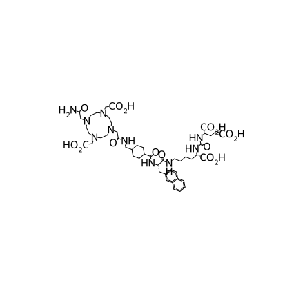 NC(=O)CN1CCN(CC(=O)O)CCN(CC(=O)NCC2CCC(C(=O)N[C@@H](Cc3ccc4ccccc4c3)C(=O)NCCCC[C@H](NC(=O)N[C@@H](CCC(=O)O)C(=O)O)C(=O)O)CC2)CCN(CC(=O)O)CC1